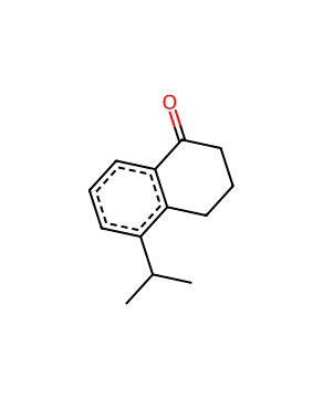 CC(C)c1cccc2c1CCCC2=O